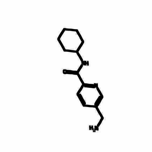 NCc1ccc(C(=O)NC2CCCCC2)nc1